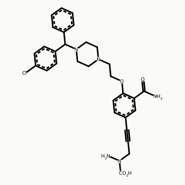 NC(=O)c1cc(C#CCN(N)C(=O)O)ccc1OCCN1CCN(C(c2ccccc2)c2ccc(Cl)cc2)CC1